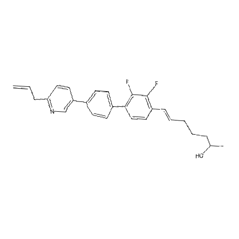 C=CCc1ccc(-c2ccc(-c3ccc(/C=C/CCCC(C)O)c(F)c3F)cc2)cn1